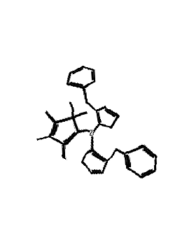 CC1=C(C)C(C)(C)[C]([Zr]([C]2=C(Cc3ccccc3)C=CC2)[C]2=C(Cc3ccccc3)C=CC2)=C1C